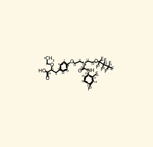 CCOC(Cc1ccc(OCCN(CCOC(F)(F)C(F)(F)C(F)(F)F)C(=O)Nc2ccc(F)cc2F)cc1)C(=O)O